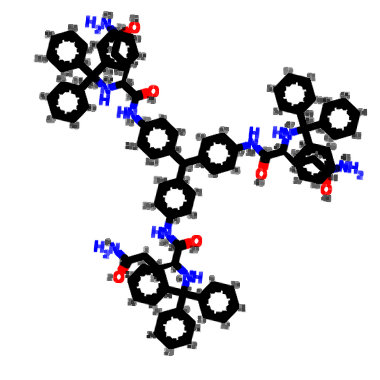 NC(=O)CC[C@H](NC(c1ccccc1)(c1ccccc1)c1ccccc1)C(=O)Nc1ccc(C(c2ccc(NC(=O)[C@H](CCC(N)=O)NC(c3ccccc3)(c3ccccc3)c3ccccc3)cc2)c2ccc(NC(=O)[C@H](CCC(N)=O)NC(c3ccccc3)(c3ccccc3)c3ccccc3)cc2)cc1